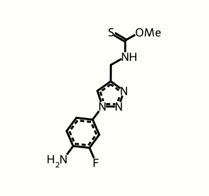 COC(=S)NCc1cn(-c2ccc(N)c(F)c2)nn1